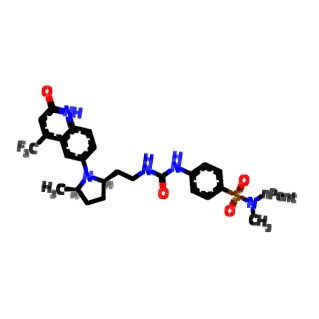 CCCCCN(C)S(=O)(=O)c1ccc(NC(=O)NCC[C@H]2CC[C@@H](C)N2c2ccc3[nH]c(=O)cc(C(F)(F)F)c3c2)cc1